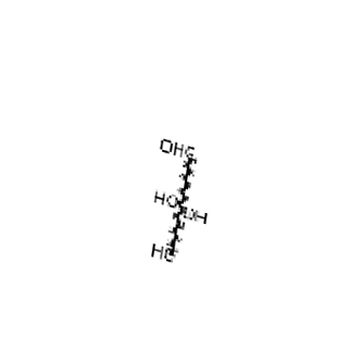 O=CCCCCCCCC(O)C(O)CCCCCCO